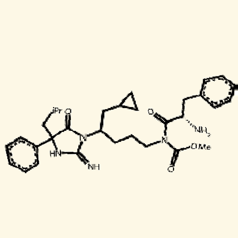 COC(=O)N(CCCC(CC1CC1)N1C(=N)NC(CC(C)C)(c2ccccc2)C1=O)C(=O)[C@@H](N)Cc1ccccc1